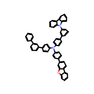 c1ccc(-c2cccc(-c3ccc(N(c4ccc(-c5cccc(-n6c7ccccc7c7ccccc76)c5)cc4)c4ccc(-c5ccc6c(c5)oc5ccccc56)cc4)cc3)c2)cc1